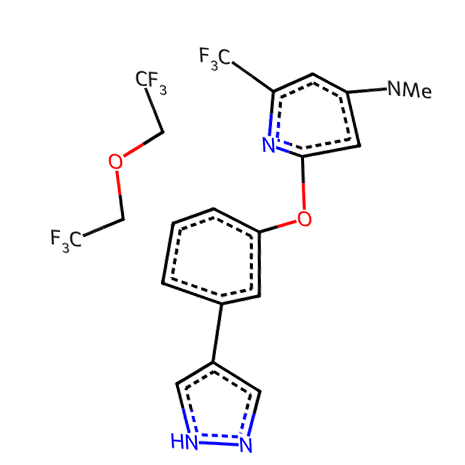 CNc1cc(Oc2cccc(-c3cn[nH]c3)c2)nc(C(F)(F)F)c1.FC(F)(F)COCC(F)(F)F